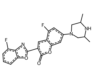 CC1CN(c2cc(F)c3cc(-c4nc5c(F)cccc5o4)c(=O)oc3c2)CC(C)N1